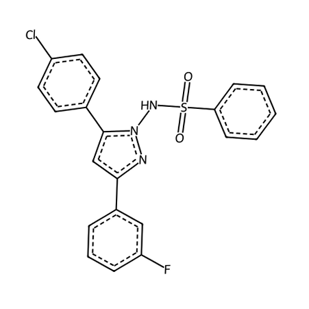 O=S(=O)(Nn1nc(-c2cccc(F)c2)cc1-c1ccc(Cl)cc1)c1ccccc1